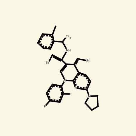 CC/C=C1/C(/C(=C\CC)NC(c2ccccc2C)C(F)(F)F)=CN(c2ccc(F)cc2F)c2nc(N3CCCC3)ccc21